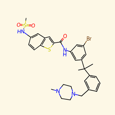 CN1CCN(Cc2cccc(C(C)(C)c3cc(Br)cc(NC(=O)c4cc5cc(NS(C)(=O)=O)ccc5s4)c3)c2)CC1